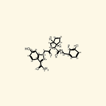 NC(=O)c1nn(CC(=O)N2C[C@@H]3CCC[C@@H]3[C@H]2C(=O)NCc2cccc(Cl)c2F)c2cc(O)ccc12